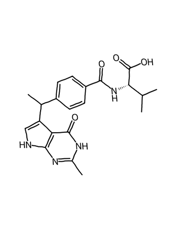 Cc1nc2[nH]cc(C(C)c3ccc(C(=O)N[C@H](C(=O)O)C(C)C)cc3)c2c(=O)[nH]1